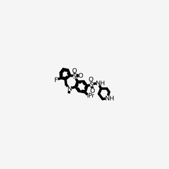 CC(C)c1cc2c(cc1S(=O)(=O)NC1CCNCC1)S(=O)(=O)c1cccc(F)c1CN2C